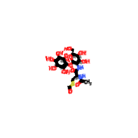 CC(=O)N[C@@H](CSC=O)C(=O)N[C@H]1[C@@H](OC2[C@H](O)[C@H](O)C(O)[C@H](O)[C@H]2O)O[C@H](CO)[C@@H](O)[C@@H]1O